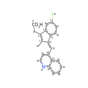 CC1=C(CC(=O)O)c2cc(F)ccc2C1=Cc1ccnc2ccccc12